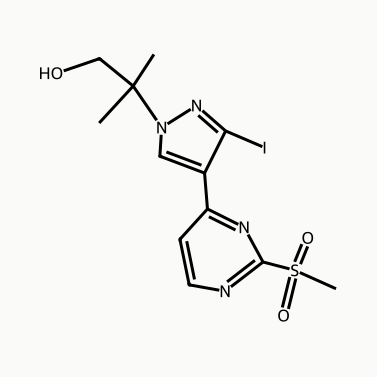 CC(C)(CO)n1cc(-c2ccnc(S(C)(=O)=O)n2)c(I)n1